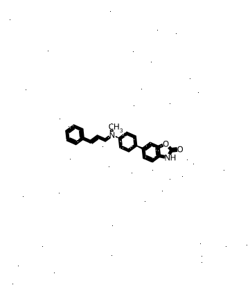 CN(CC=Cc1ccccc1)[C@H]1CC[C@H](c2ccc3[nH]c(=O)oc3c2)CC1